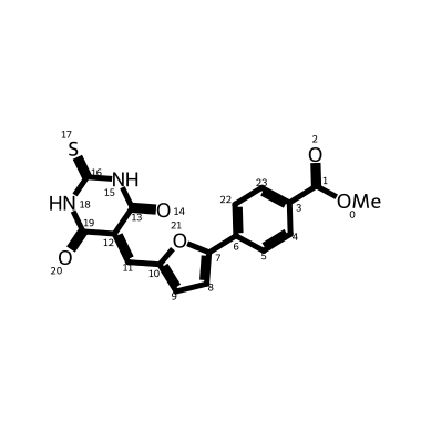 COC(=O)c1ccc(-c2ccc(C=C3C(=O)NC(=S)NC3=O)o2)cc1